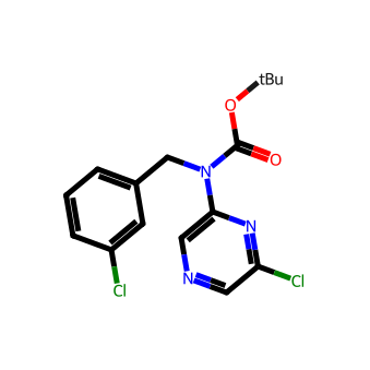 CC(C)(C)OC(=O)N(Cc1cccc(Cl)c1)c1cncc(Cl)n1